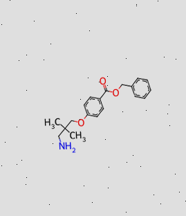 CC(C)(CN)COc1ccc(C(=O)OCc2ccccc2)cc1